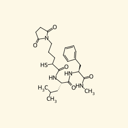 CNC(=O)[C@H](Cc1ccccc1)NC(=O)[C@H](CC(C)C)NC(=O)C(S)CCCN1C(=O)CCC1=O